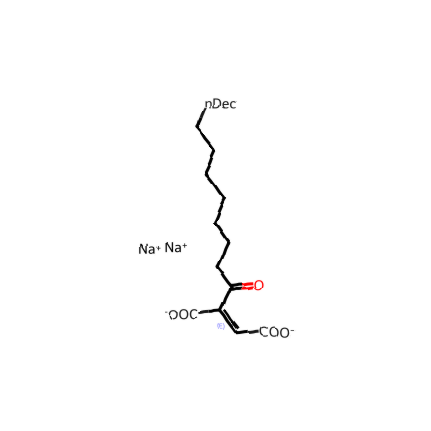 CCCCCCCCCCCCCCCCCC(=O)/C(=C\C(=O)[O-])C(=O)[O-].[Na+].[Na+]